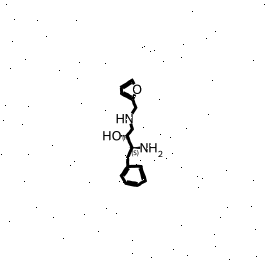 N[C@@H](Cc1ccccc1)[C@H](O)CNCc1ccco1